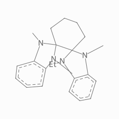 CCN1c2ccccc2N(C)C12CCCCC21N(C)c2ccccc2N1C